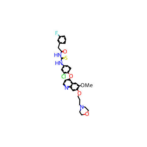 COc1cc2c(Oc3ccc(NC(=S)NC(=O)Cc4cccc(F)c4)cc3Cl)ccnc2cc1OCCCN1CCOCC1